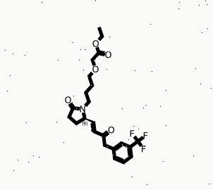 CCOC(=O)COCCCCN1C(=O)CC[C@@H]1C=CC(=O)Cc1cccc(C(F)(F)F)c1